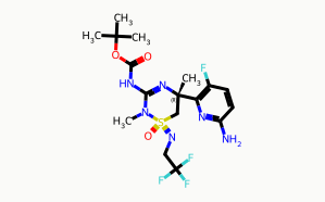 CN1C(NC(=O)OC(C)(C)C)=N[C@](C)(c2nc(N)ccc2F)CS1(=O)=NCC(F)(F)F